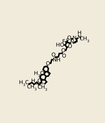 CNc1ccn(C2OC(COC(=O)CCC(=O)NCCO[C@H]3CC[C@@]4(C)C(=CCC5C4CC[C@@]4(C)C5CC[C@@H]4[C@H](C)CCCC(C)C)C3)C(O)C2(F)F)c(=O)n1